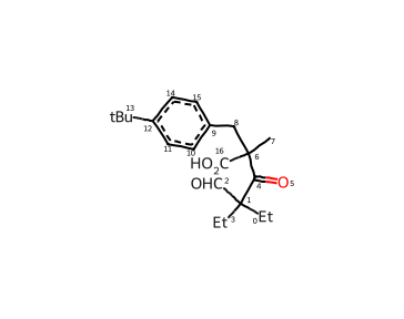 CCC(C=O)(CC)C(=O)C(C)(Cc1ccc(C(C)(C)C)cc1)C(=O)O